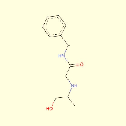 CC(CO)NCC(=O)N[CH]c1ccccc1